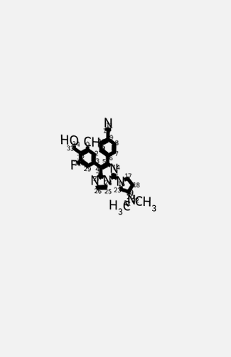 Cc1cc(-c2c(-c3ccc(C#N)cc3)nc(N3CC[C@@H](N(C)C)C3)n3ccnc23)cc(F)c1CO